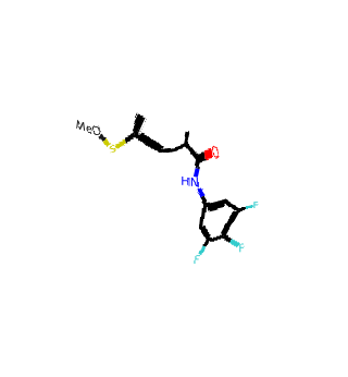 COS/C(C)=C/C(C)C(=O)Nc1cc(F)c(F)c(F)c1